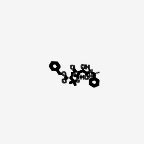 C[C@@H](NC(=O)[C@@H](O)[C@@H]1C(=O)N2[C@@H]1SC(C)(C)[C@@H]2C(=O)OCc1ccccc1)c1ccccc1